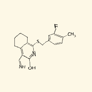 Cc1ccc(CSc2nc(O)c(C=N)c3c2CCCC3)cc1F